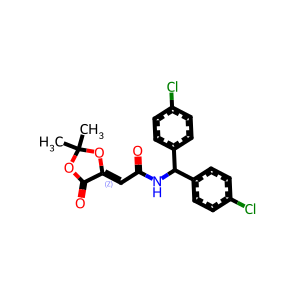 CC1(C)OC(=O)/C(=C/C(=O)NC(c2ccc(Cl)cc2)c2ccc(Cl)cc2)O1